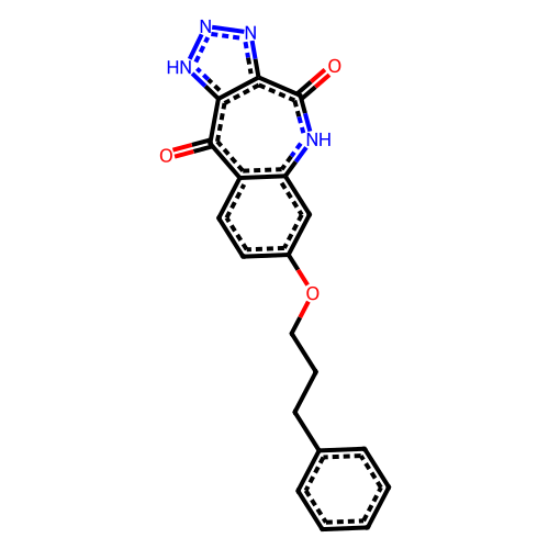 O=c1[nH]c2cc(OCCCc3ccccc3)ccc2c(=O)c2[nH]nnc12